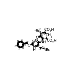 C[C@@H](C(=O)O)N(C(=O)[C@H](CC(=O)O)NC(=O)[C@H](COC(C)(C)C)NC(=O)OCc1ccccc1)C(C)(C)C